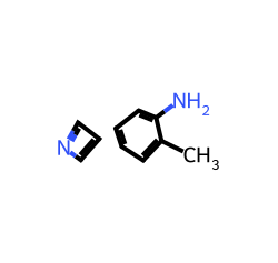 C1=CN=C1.Cc1ccccc1N